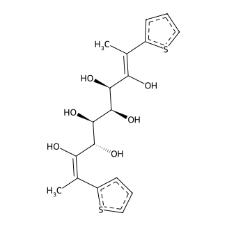 CC(=C(O)[C@@H](O)[C@@H](O)[C@H](O)[C@@H](O)C(O)=C(C)c1cccs1)c1cccs1